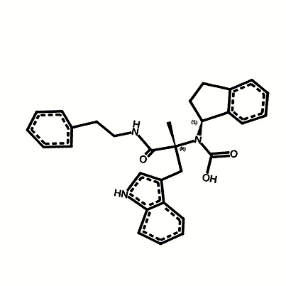 C[C@@](Cc1c[nH]c2ccccc12)(C(=O)NCCc1ccccc1)N(C(=O)O)[C@H]1CCc2ccccc21